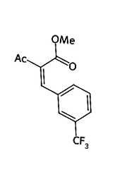 COC(=O)C(=Cc1cccc(C(F)(F)F)c1)C(C)=O